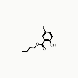 CCCCOC(=O)c1cc(I)ccc1O